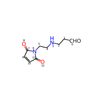 O=CCCNCCN1C(=O)C=CC1=O